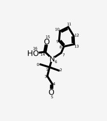 CC(C)(CC=O)N(Cc1ccccc1)C(=O)O